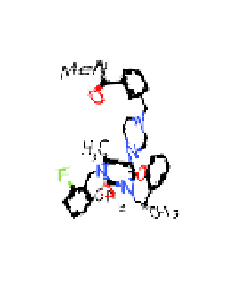 CNC(=O)c1cccc(CN2CCN(c3c(C)n(Cc4c(F)cccc4C(F)(F)F)c(=O)n(C[C@H](C)c4ccccc4)c3=O)CC2)c1